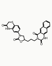 O=C1CSc2ccc(N3CC(CCCn4c(=O)[nH]c5cc6ccccc6cc5c4=O)OC3=O)cc2N1